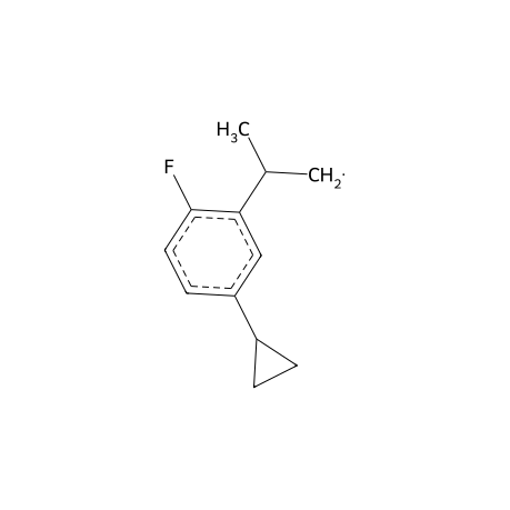 [CH2]C(C)c1cc(C2CC2)ccc1F